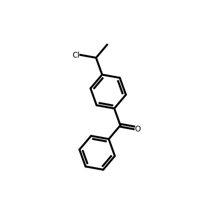 CC(Cl)c1ccc(C(=O)c2ccccc2)cc1